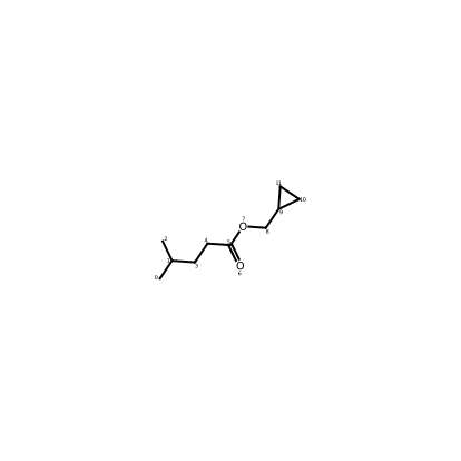 CC(C)CCC(=O)OCC1CC1